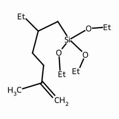 C=C(C)CCC(CC)C[Si](OCC)(OCC)OCC